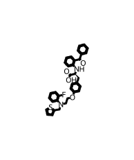 O=C(c1ccccc1)c1ccccc1N[C@@H](Cc1ccc(OCCN(Cc2cccs2)c2ccccc2F)cc1)C(=O)O